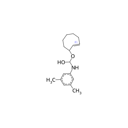 Cc1cc(C)cc(NC(O)OC2/C=C/CCCCC2)c1